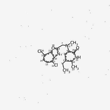 CCc1cc(N(C)Cc2nc3c(Cl)ccc(Cl)c3o2)c(=O)[nH]c1C